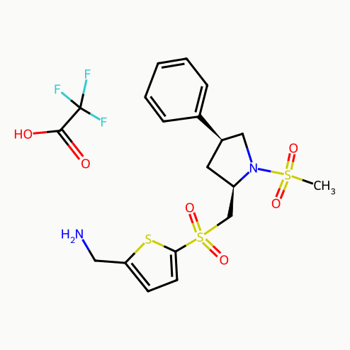 CS(=O)(=O)N1C[C@H](c2ccccc2)C[C@@H]1CS(=O)(=O)c1ccc(CN)s1.O=C(O)C(F)(F)F